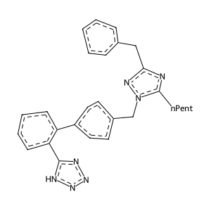 CCCCCc1nc(Cc2ccccc2)nn1Cc1ccc(-c2ccccc2-c2nnn[nH]2)cc1